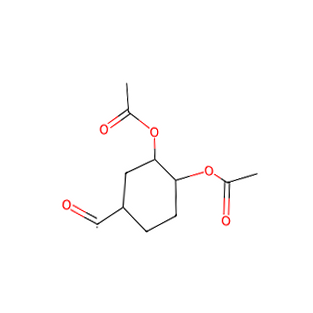 CC(=O)OC1CCC([C]=O)CC1OC(C)=O